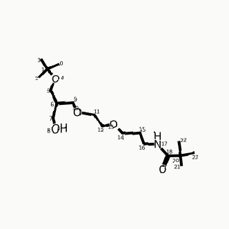 CC(C)(C)OCC(CO)COCCOCCCNC(=O)C(C)(C)C